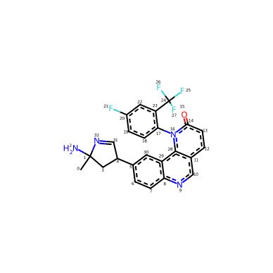 CC1(N)CC(c2ccc3ncc4ccc(=O)n(-c5ccc(F)cc5C(F)(F)F)c4c3c2)C=N1